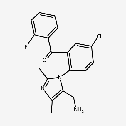 Cc1nc(C)n(-c2ccc(Cl)cc2C(=O)c2ccccc2F)c1CN